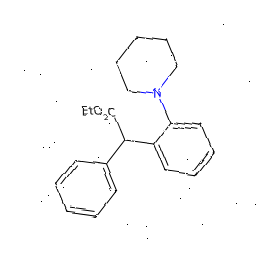 CCOC(=O)C(c1ccccc1)c1ccccc1N1CCCCC1